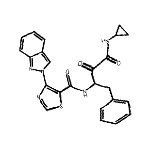 O=C(NC1CC1)C(=O)C(Cc1ccccc1)NC(=O)c1scnc1-n1cc2ccccc2n1